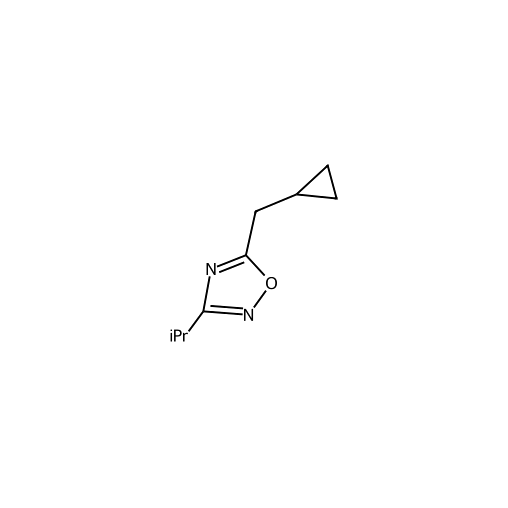 CC(C)c1noc(CC2CC2)n1